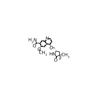 COc1cc2c(OC[C@@H]3C[C@](C)(F)C(=O)N3)ccnc2cc1C(N)=O